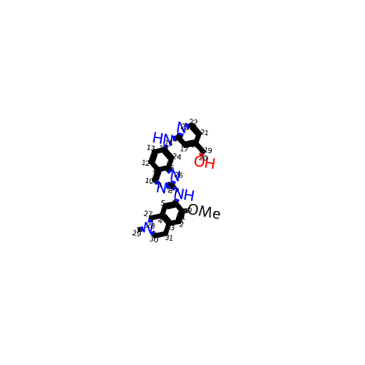 COc1cc2c(cc1Nc1ncc3ccc(Nc4cc(CO)ccn4)cc3n1)CN(C)CC2